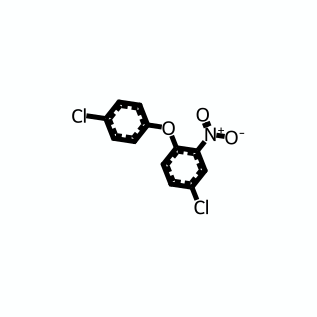 O=[N+]([O-])c1cc(Cl)ccc1Oc1ccc(Cl)cc1